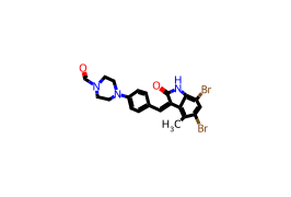 Cc1c(Br)cc(Br)c2c1C(=Cc1ccc(N3CCN(C=O)CC3)cc1)C(=O)N2